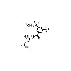 C[C@H](N)CCC(N)CNC(=O)c1cc(C(F)(F)F)cc(C(F)(F)F)c1.Cl.Cl